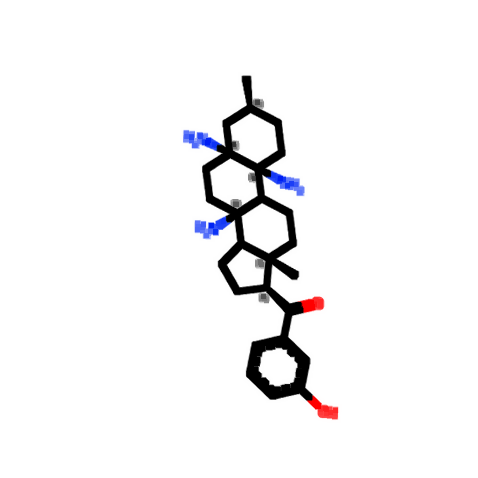 C[C@H]1CC[C@]2(N)C3CC[C@@]4(C)C(CC[C@@H]4C(=O)c4cccc(O)c4)[C@]3(N)CC[C@]2(N)C1